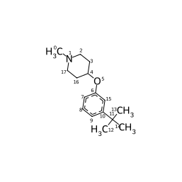 CN1CCC(Oc2cccc(C(C)(C)C)c2)CC1